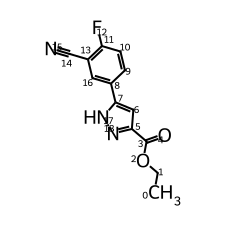 CCOC(=O)c1cc(-c2ccc(F)c(C#N)c2)[nH]n1